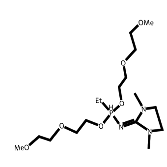 CC[PH](N=C1N(C)CCN1C)(OCCOCCOC)OCCOCCOC